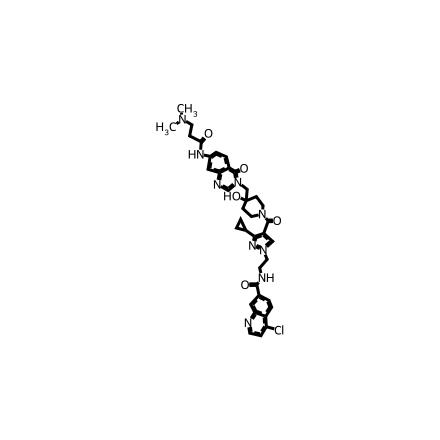 CN(C)CCC(=O)Nc1ccc2c(=O)n(CC3(O)CCN(C(=O)c4cn(CCNC(=O)c5ccc6c(Cl)ccnc6c5)nc4C4CC4)CC3)cnc2c1